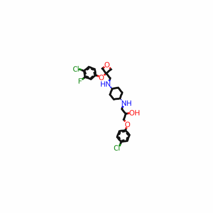 OC(CN[C@H]1CC[C@H](NCC2(Oc3ccc(Cl)c(F)c3)COC2)CC1)COc1ccc(Cl)cc1